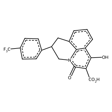 O=C(O)c1c(O)c2cccc3c2n(c1=O)CC(c1ccc(C(F)(F)F)cc1)C3